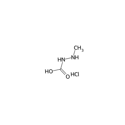 CNNC(=O)O.Cl